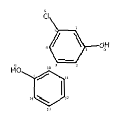 Oc1cccc(Cl)c1.Oc1ccccc1